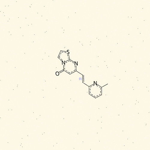 Cc1cccc(/C=C/c2cc(=O)n3ccsc3n2)n1